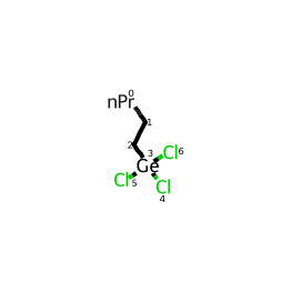 CCCC[CH2][Ge]([Cl])([Cl])[Cl]